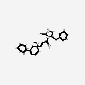 COC1(/C=C/C(=O)N2C(=O)OCC2Cc2ccccc2)C=CC=C(c2ccccc2)C1